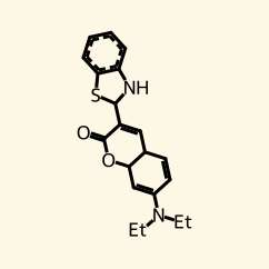 CCN(CC)C1=CC2OC(=O)C(C3Nc4ccccc4S3)=CC2C=C1